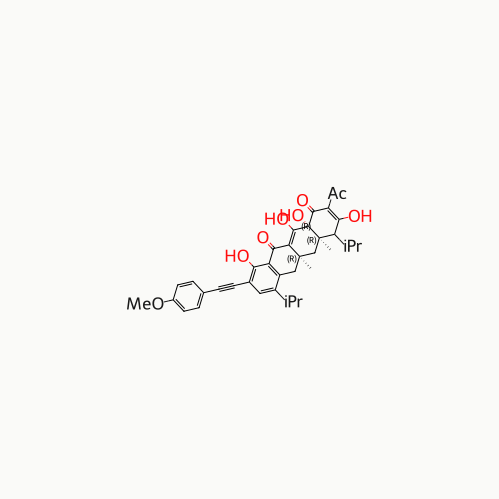 COc1ccc(C#Cc2cc(C(C)C)c3c(c2O)C(=O)C2=C(O)[C@@]4(O)C(=O)C(C(C)=O)=C(O)C(C(C)C)[C@@]4(C)C[C@@]2(C)C3)cc1